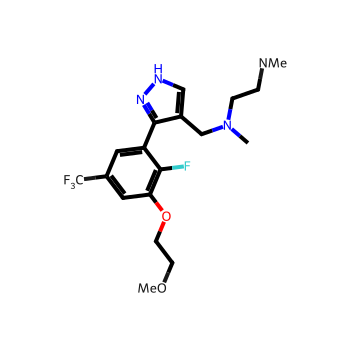 CNCCN(C)Cc1c[nH]nc1-c1cc(C(F)(F)F)cc(OCCOC)c1F